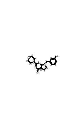 Cc1cccc(CN2CCc3c(Cl)nc(N4CCOCC4)nc32)c1